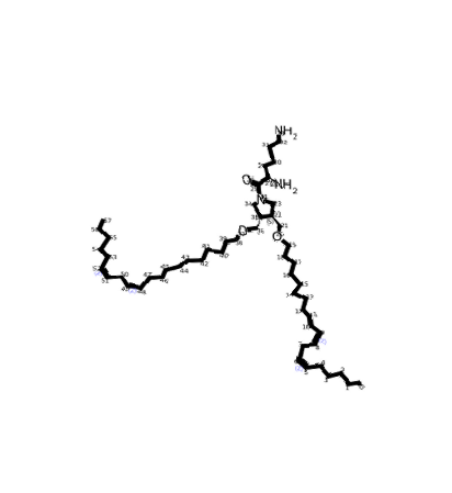 CCCCC/C=C\C/C=C\CCCCCCCCCCOC[C@@H]1CN(C(=O)[C@@H](N)CCCCN)C[C@H]1COCCCCCCCCCC/C=C\C/C=C\CCCCC